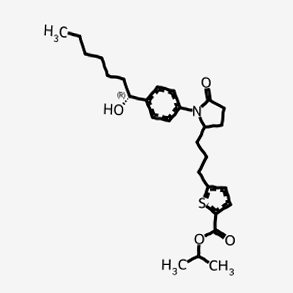 CCCCCC[C@@H](O)c1ccc(N2C(=O)CCC2CCCc2ccc(C(=O)OC(C)C)s2)cc1